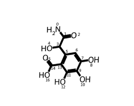 NC(=O)C(O)c1cc(O)c(O)c(O)c1C(=O)O